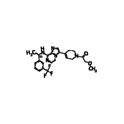 COCC(=O)N1CC=C(c2cnc3c(N[C@H](C)c4cccc(C(F)(F)F)c4)nccn23)CC1